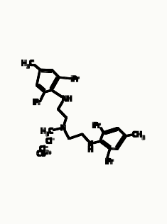 Cc1cc(C(C)C)c(NCCN(C)CCNc2c(C(C)C)cc(C)cc2C(C)C)c(C(C)C)c1.[Cl-].[Cl-].[Co+2]